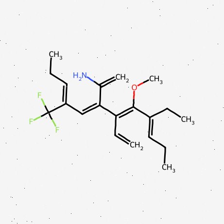 C=CC(/C(=C/C(=CCC)C(F)(F)F)C(=C)N)=C(/OC)C(=CCC)CC